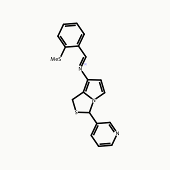 CSc1ccccc1/C=N/c1ccn2c1CSC2c1cccnc1